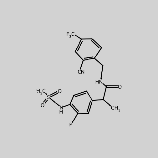 CC(C(=O)NCc1ccc(C(F)(F)F)cc1C#N)c1ccc(NS(C)(=O)=O)c(F)c1